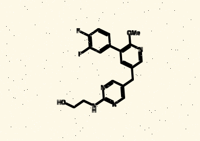 COc1ncc(Cc2cnc(NCCO)nc2)cc1-c1ccc(F)c(F)c1